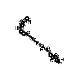 Cc1cccc(C)c1Nc1nn(C)c2nc(Nc3ccc4c(c3)CN(C(=O)CCOCCOCCOCCOCCNC(=O)COc3ccc5c(c3)C(=O)N(C3CCC(=O)NC3=O)C5=O)CC4)ncc12